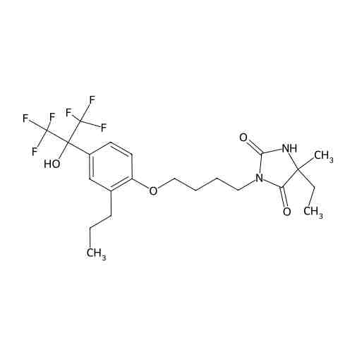 CCCc1cc(C(O)(C(F)(F)F)C(F)(F)F)ccc1OCCCCN1C(=O)NC(C)(CC)C1=O